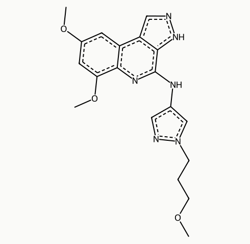 COCCCn1cc(Nc2nc3c(OC)cc(OC)cc3c3cn[nH]c23)cn1